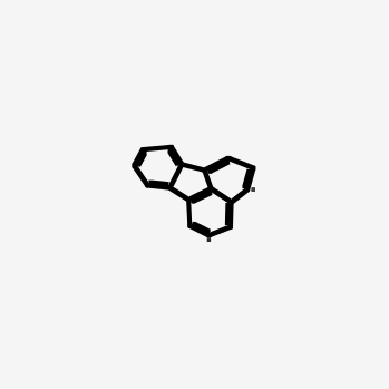 [c]1cc2c3c(cc[c]c3c1)-c1ccccc1-2